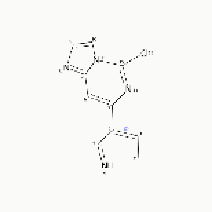 C/C=C(\C=N)c1cc2nccn2c(Cl)n1